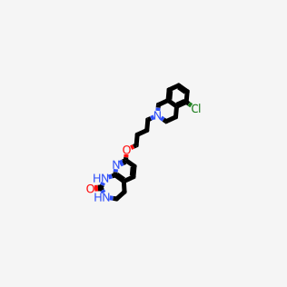 O=C1NCCc2ccc(OCCCCN3CCc4c(Cl)cccc4C3)nc2N1